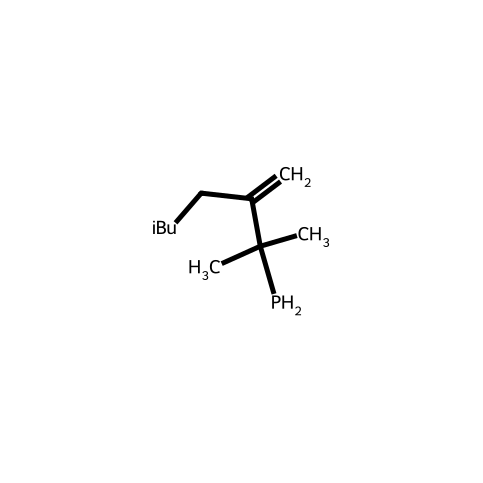 C=C(CC(C)CC)C(C)(C)P